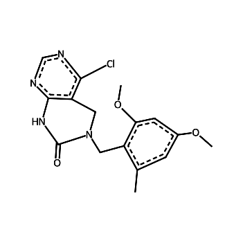 COc1cc(C)c(CN2Cc3c(Cl)ncnc3NC2=O)c(OC)c1